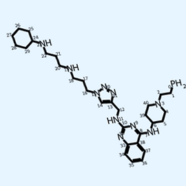 PCCN1CCC(Nc2nc(NCc3cn(CCCNCCCNC4CCCCC4)nn3)nc3ccccc23)CC1